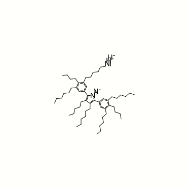 CCCCCCC1=C(c2cc(CCCCCC)c(CCCC)c(CCCCCC)c2)[N+](=[N-])C(c2cc(CCCCCC)c(CCCC)c(CCCCCC)c2)=C1CCCCC.[H-].[H-].[Ni]